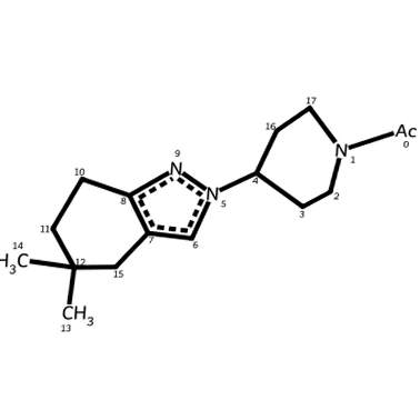 CC(=O)N1CCC(n2cc3c(n2)CCC(C)(C)C3)CC1